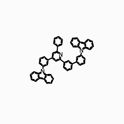 c1ccc(-c2cc(-c3cccc(-n4c5ccccc5c5ccccc54)c3)cc(-c3cccc(-c4cccc(-n5c6ccccc6c6ccccc65)c4)c3)n2)cc1